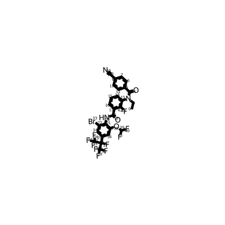 CCN(C(=O)c1ccc(C#N)cc1)c1cccc(C(=O)Nc2c(Br)cc(C(F)(C(F)(F)F)C(F)(F)F)cc2OC(F)F)c1F